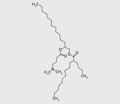 CCCCCCCCCCCCC(COC(=O)C(CCCC)CCCCCCCCCC)OC(=O)CCCN(C)C